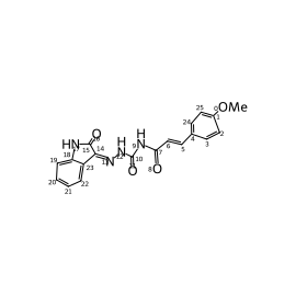 COc1ccc(/C=C/C(=O)NC(=O)N/N=C2\C(=O)Nc3ccccc32)cc1